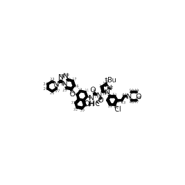 CC(C)(C)c1cc(N(OC=O)C(=O)N[C@H]2CC[C@@H](Oc3ccc4nnc(N5CCCCC5)n4c3)c3ccccc32)n(-c2ccc(Cl)c(CCN3CCOCC3)c2)n1